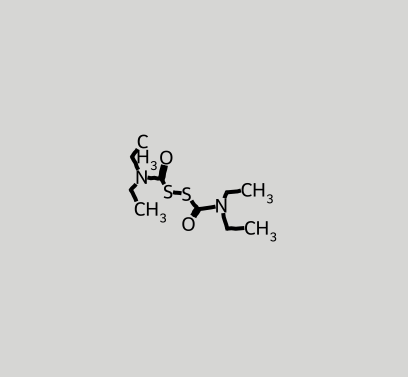 CCN(CC)C(=O)SSC(=O)N(CC)CC